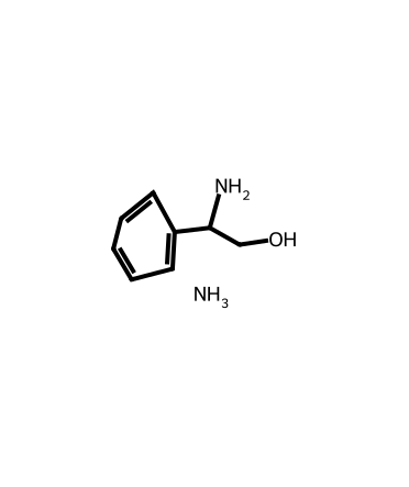 N.NC(CO)c1ccccc1